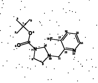 CC(C)(C)OC(=O)N1CCN(Cc2ncccc2F)C1